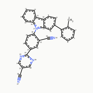 Cc1ccccc1-c1ccc2c3ccccc3n(-c3ccc(-c4ncc(C#N)cn4)cc3C#N)c2c1